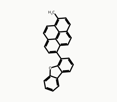 Cc1ccc2ccc3c(-c4cccc5c4oc4ccccc45)ccc4ccc1c2c43